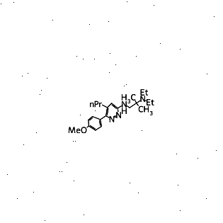 CCCc1cc(NCC(C)(C)N(CC)CC)nnc1-c1ccc(OC)cc1